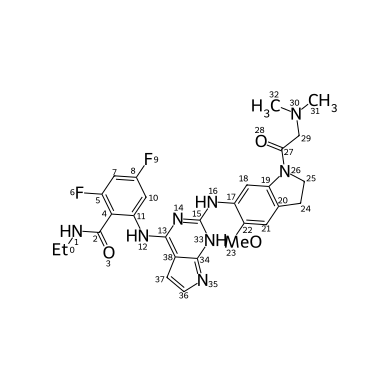 CCNC(=O)c1c(F)cc(F)cc1Nc1nc(Nc2cc3c(cc2OC)CCN3C(=O)CN(C)C)[nH]c2nccc1-2